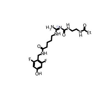 CCC(=O)NCCNC(=O)/N=C(/N)NCCCCC(=O)NCc1c(F)cc(O)cc1F